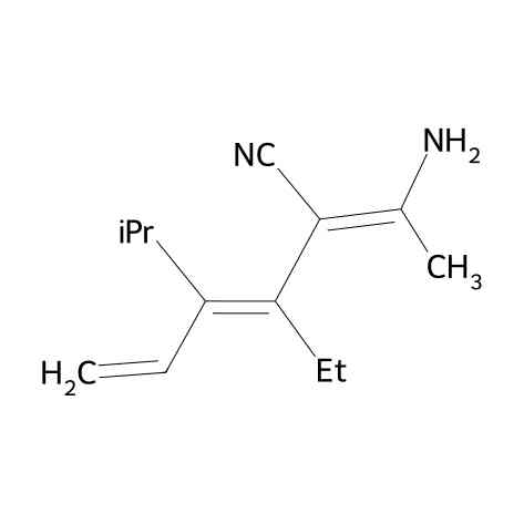 C=C/C(=C(CC)/C(C#N)=C(\C)N)C(C)C